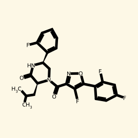 CC(C)C[C@H]1C(=O)N[C@@H](c2ccccc2F)CN1C(=O)c1noc(-c2ccc(F)cc2F)c1F